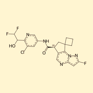 O=C(Nc1cnc(C(O)C(F)F)c(Cl)c1)[C@H]1CC2(CCC2)c2c1cnc1cc(F)nn21